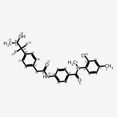 Cc1ccc(N(C)C(=O)c2ccc(NC(=O)Cc3ccc(C(F)(F)[C@@H](C)O)cc3)cc2)c(Cl)c1